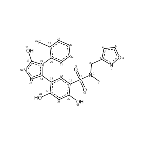 CN(Cc1ccon1)S(=O)(=O)c1cc(-c2nnc(O)n2-c2ccccc2F)c(O)cc1O